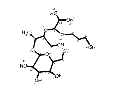 C[C@H](OC1OC(CS)C(O)C(O)C1O)C(CO)OC(OCCCS)C(O)O